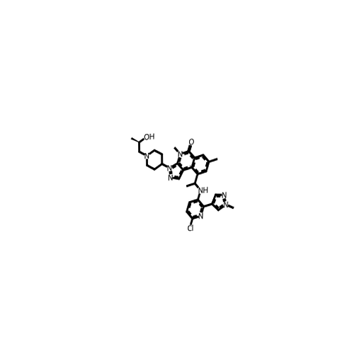 Cc1cc(C(C)Nc2ccc(Cl)nc2-c2cnn(C)c2)c2c(c1)c(=O)n(C)c1c2cnn1C1CCN(C[C@@H](C)O)CC1